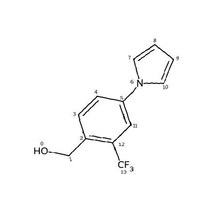 OCc1ccc(-n2cccc2)cc1C(F)(F)F